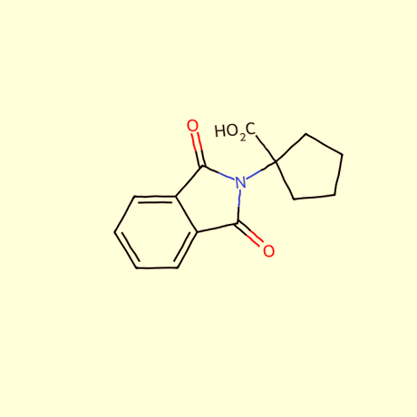 O=C1c2ccccc2C(=O)N1C1(C(=O)O)CCCC1